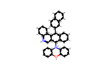 c1ccc2c(c1)Oc1ccccc1N2c1c2ccccc2c(-c2ccc3ccccc3c2)c2c1cnc1ccccc12